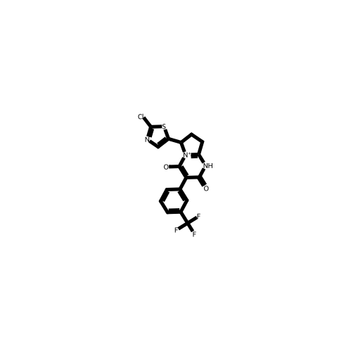 O=c1[nH]c2[n+](c([O-])c1-c1cccc(C(F)(F)F)c1)C(c1cnc(Cl)s1)CC2